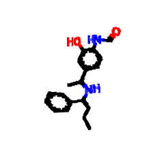 CCCC(NC(C)c1ccc(NC=O)c(O)c1)c1ccccc1